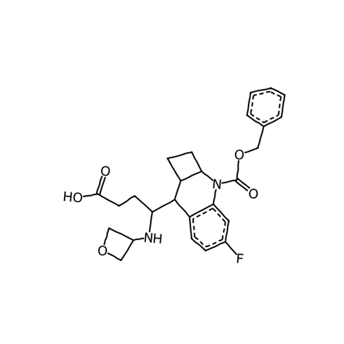 O=C(O)CCC(NC1COC1)C1c2ccc(F)cc2N(C(=O)OCc2ccccc2)C2CCC12